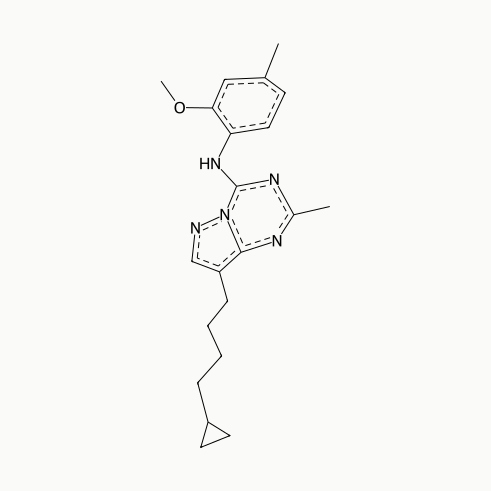 COc1cc(C)ccc1Nc1nc(C)nc2c(CCCCC3CC3)cnn12